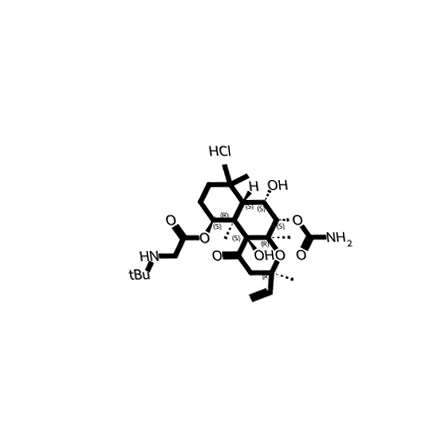 C=C[C@@]1(C)CC(=O)[C@]2(O)[C@@]3(C)[C@@H](OC(=O)CNC(C)(C)C)CCC(C)(C)[C@@H]3[C@H](O)[C@H](OC(N)=O)[C@@]2(C)O1.Cl